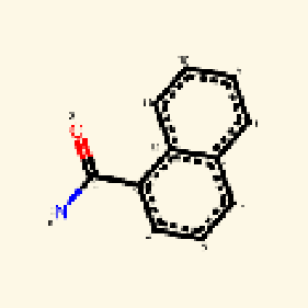 [N]C(=O)c1cccc2ccccc12